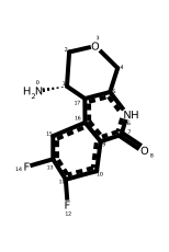 N[C@@H]1COCc2[nH]c(=O)c3cc(F)c(F)cc3c21